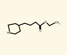 CCOC(=O)CCCC1CCNCC1